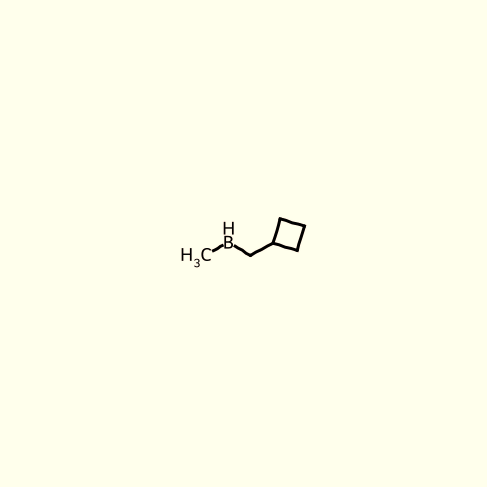 CBCC1CCC1